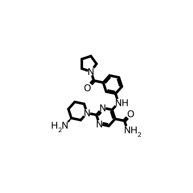 NC(=O)c1cnc(N2CCC[C@H](N)C2)nc1Nc1cccc(C(=O)N2CCCC2)c1